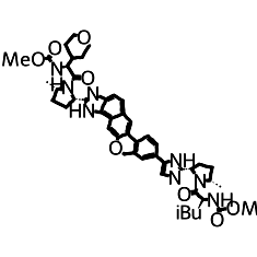 CC[C@H](C)C(NC(=O)OC)C(=O)N1[C@@H](C)CC[C@H]1c1ncc(-c2ccc3c(c2)COc2cc4c(ccc5nc([C@@H]6CC[C@H](C)N6C(=O)[C@@H](NC(=O)OC)C6CCOCC6)[nH]c54)cc2-3)[nH]1